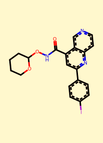 O=C(NOC1CCCCO1)c1cc(-c2ccc(I)cc2)nc2ccncc12